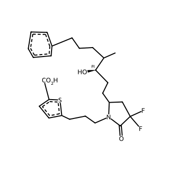 CC(CCCc1ccccc1)[C@H](O)CCC1CC(F)(F)C(=O)N1CCCc1ccc(C(=O)O)s1